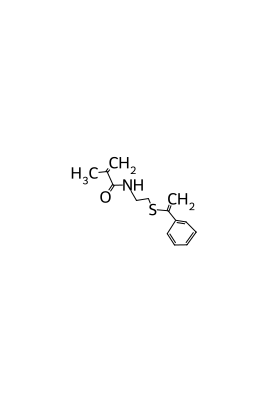 C=C(C)C(=O)NCCSC(=C)c1ccccc1